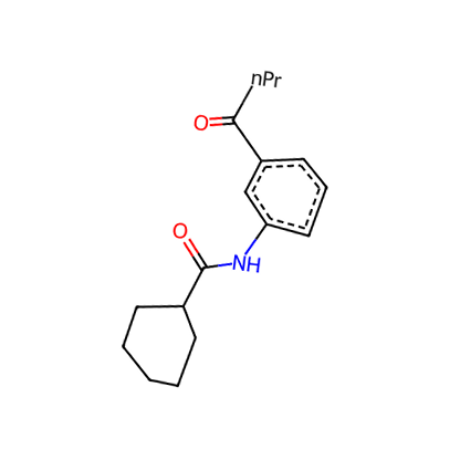 CCCC(=O)c1cccc(NC(=O)C2CCCCC2)c1